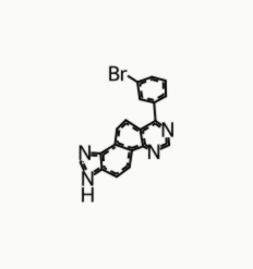 Brc1cccc(-c2ncnc3c2ccc2c3ccc3[nH]cnc32)c1